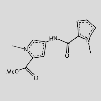 COC(=O)c1cc(NC(=O)c2cccn2C)cn1C